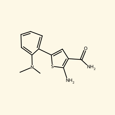 CN(C)c1ccccc1-c1cc(C(N)=O)c(N)s1